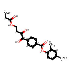 COc1ccc(OC(=O)c2ccc(C(=O)C(=O)CCOC(=O)CSC)cc2)c(C)c1